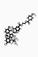 COc1cc(C(=O)OCCOC(=O)N2CCN(C)CC2)ccc1NC(=O)[C@@H]1N[C@@H](CC(C)(C)C)[C@](C#N)(c2ccc(Cl)cc2F)[C@H]1c1cccc(Cl)c1F